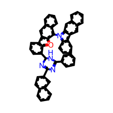 c1ccc(C2=NC(c3ccc4ccccc4c3)=NC(c3cccc4c3oc3c(-n5c6ccccc6c6cc7ccccc7cc65)c5ccccc5cc34)N2)cc1